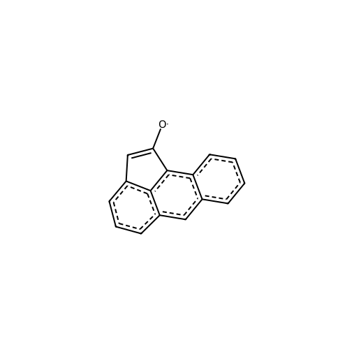 [O]C1=Cc2cccc3cc4ccccc4c1c23